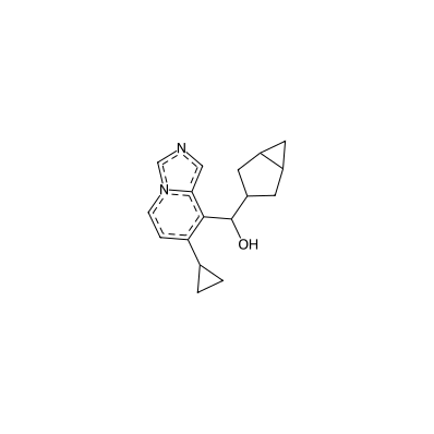 OC(c1c(C2CC2)ccn2cncc12)C1CC2CC2C1